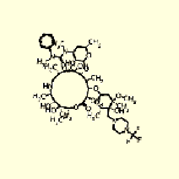 CC[C@H]1OC(=O)[C@H](C)[C@@H](O[C@H]2C[C@@](C)(OC)[C@](O)(CN3CCN(C(F)(F)F)CC3)[C@H](C)O2)[C@H](C)[C@@H](O[C@@H]2O[C@H](C)C[C@H](N(C)C(=O)N(C)c3ccccc3)[C@H]2O)[C@](C)(O)C[C@@H](C)CN[C@H](C)[C@@H](O)[C@]1(C)O